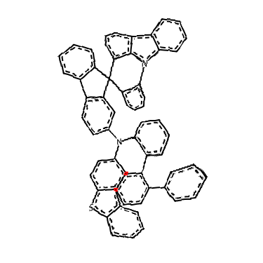 c1ccc(-c2ccccc2-c2ccccc2N(c2ccc3c(c2)C2(c4ccccc4-3)c3ccccc3-n3c4ccccc4c4cccc2c43)c2ccc3sc4ccccc4c3c2)cc1